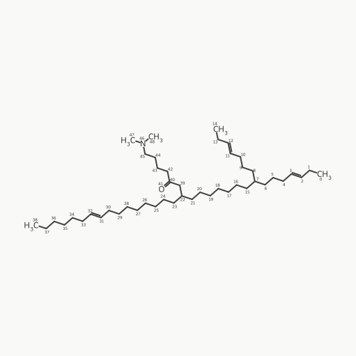 CC/C=C/CCCC(CCC/C=C/CC)CCCCCCCC(CCCCCCCC/C=C/CCCCCC)CC(=O)CCCCN(C)C